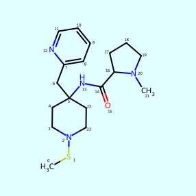 CSN1CCC(Cc2ccccn2)(NC(=O)C2CCCN2C)CC1